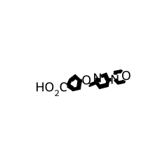 O=C(O)c1ccc(OCc2ccc(N3CCOCC3)cn2)cc1